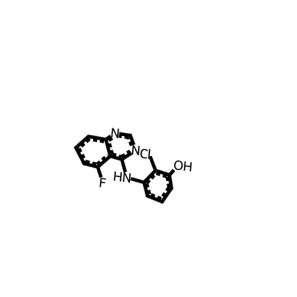 Oc1cccc(Nc2ncnc3cccc(F)c23)c1Cl